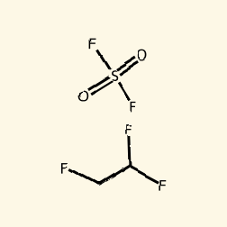 FCC(F)F.O=S(=O)(F)F